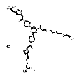 C#CCOCCOCCOCCNc1nc(N2CCN(C(=O)Cn3cc(CCCN=C(N)N)nn3)CC2)nc(N2CCN(C(=O)Cn3cc(CC(C)O)nn3)CC2)n1.Cl